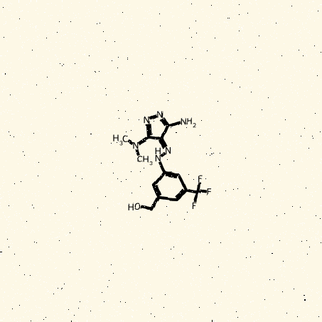 CN(C)C1=NN=C(N)/C1=N/Nc1cc(CO)cc(C(F)(F)F)c1